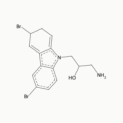 NCC(O)Cn1c2c(c3cc(Br)ccc31)=CC(Br)CC=2